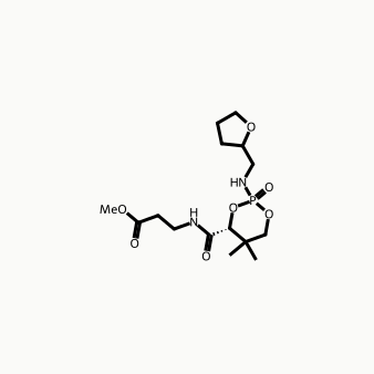 COC(=O)CCNC(=O)[C@@H]1OP(=O)(NCC2CCCO2)OCC1(C)C